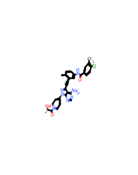 Cc1ccc(NC(=O)c2ccc(Cl)c(C(F)(F)F)c2)cc1C#Cc1nn(C2CCN(C(=O)[C@H](C)O)CC2)c2ncnc(N)c12